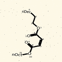 CCCCCCCCCCCCOC(=O)/C=C\C(=O)OCCCCCCCC